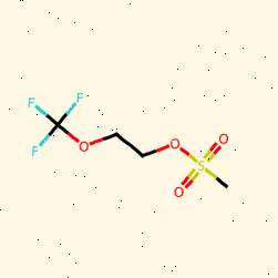 CS(=O)(=O)OCCOC(F)(F)F